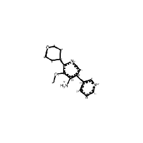 COc1c(C2CCOCC2)ncc(-c2cccnc2)c1N